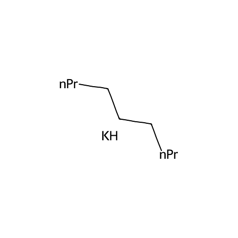 CCCCCCCCC.[KH]